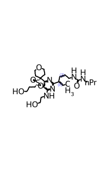 C/C=C(\C=C/CNC(=O)NCCC)c1nc(NCCO)cc(C2(S(=O)(=O)CCCO)CCOCC2)n1